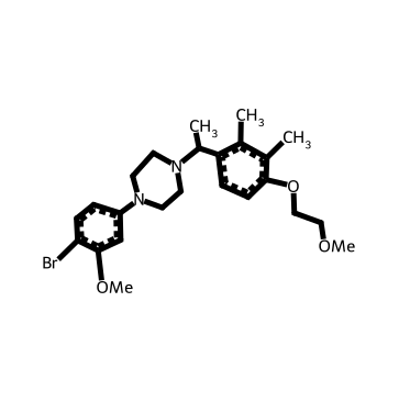 COCCOc1ccc(C(C)N2CCN(c3ccc(Br)c(OC)c3)CC2)c(C)c1C